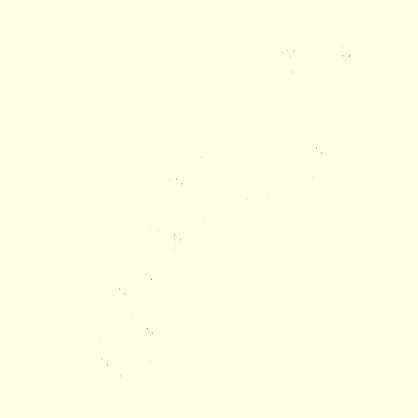 CCOc1cn(-c2cnccn2)nc1C(=O)Nc1cc(C)c(Oc2ccnc3cc(OC)c(OC)cc23)cn1